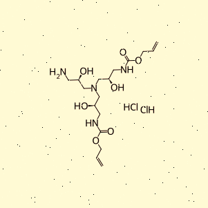 C=CCOC(=O)NC[C@@H](O)CN(C[C@H](O)CN)C[C@H](O)CNC(=O)OCC=C.Cl.Cl